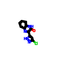 O=c1[nH]c2ccccc2nc1-c1cc(Cl)n[nH]1